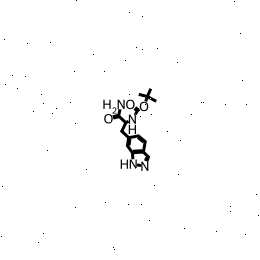 CC(C)(C)OC(=O)NC(Cc1ccc2cn[nH]c2c1)C(N)=O